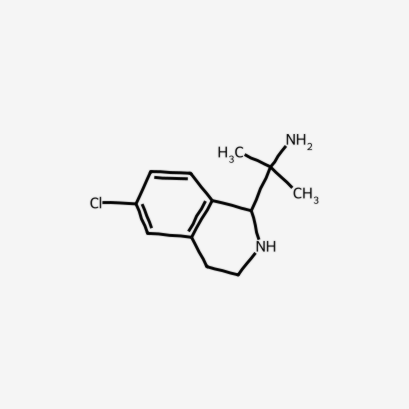 CC(C)(N)C1NCCc2cc(Cl)ccc21